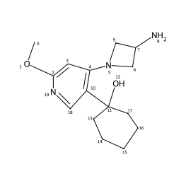 COc1cc(N2CC(N)C2)c(C2(O)CCCCC2)cn1